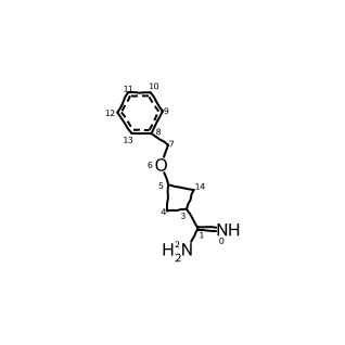 N=C(N)C1CC(OCc2ccccc2)C1